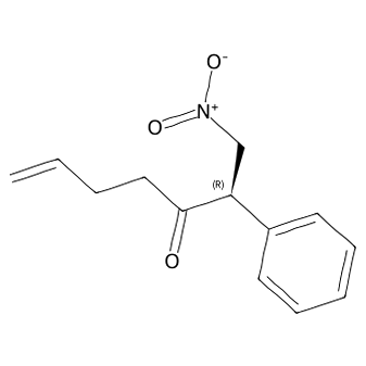 C=CCCC(=O)[C@@H](C[N+](=O)[O-])c1ccccc1